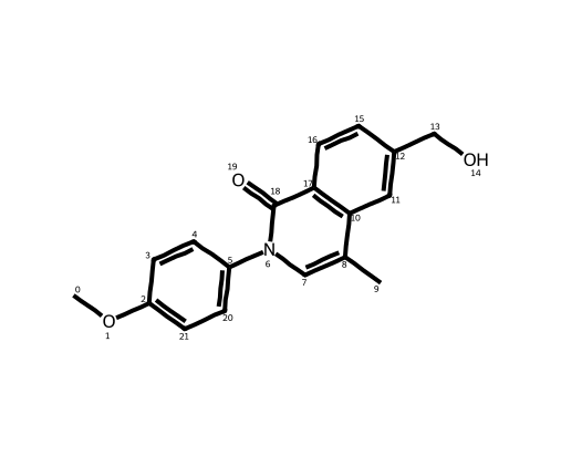 COc1ccc(-n2cc(C)c3cc(CO)ccc3c2=O)cc1